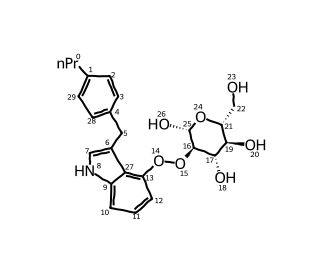 CCCc1ccc(Cc2c[nH]c3cccc(OO[C@@H]4[C@@H](O)[C@H](O)[C@@H](CO)O[C@H]4O)c23)cc1